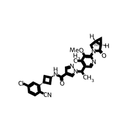 COc1c(N2C[C@H]3C[C@H]3C2=O)ncc(C(C)n2cc(C(=O)N[C@H]3C[C@@H](c4cc(Cl)ccc4C#N)C3)cn2)c1C